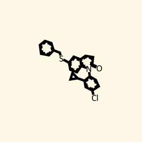 O=c1ccc2cc(SCc3ccccc3)ccc2n1-c1ccc(Cl)cc1C1CC1